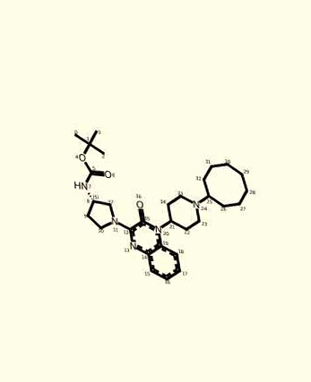 CC(C)(C)OC(=O)N[C@H]1CCN(c2nc3ccccc3n(C3CCN(C4CCCCCCC4)CC3)c2=O)C1